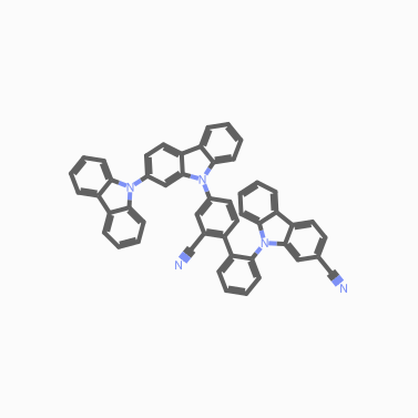 N#Cc1ccc2c3ccccc3n(-c3ccccc3-c3ccc(-n4c5ccccc5c5ccc(-n6c7ccccc7c7ccccc76)cc54)cc3C#N)c2c1